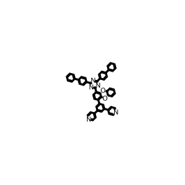 C1=CC2Oc3c(-c4cc(-c5ccncc5)cc(-c5ccncc5)c4)ccc(-c4nc(-c5ccc(-c6ccccc6)cc5)nc(-c5ccc(-c6ccccc6)cc5)n4)c3OC2C=C1